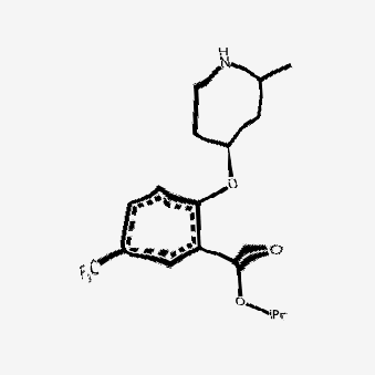 CC1C[C@@H](Oc2ccc(C(F)(F)F)cc2C(=O)OC(C)C)CCN1